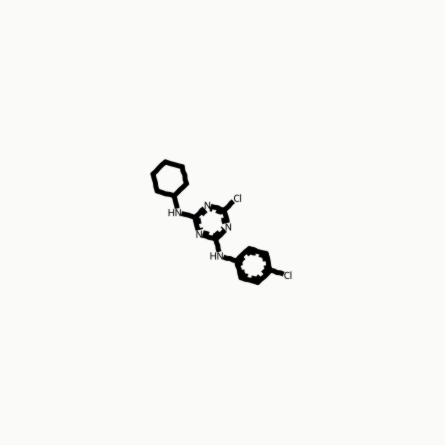 Clc1ccc(Nc2nc(Cl)nc(NC3CCCCC3)n2)cc1